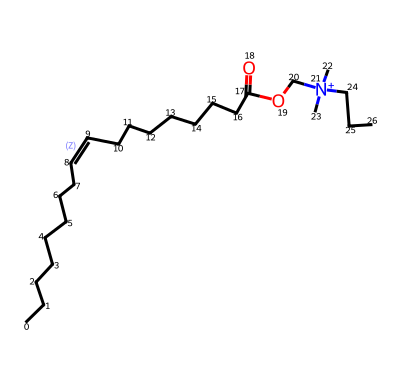 CCCCCCCC/C=C\CCCCCCCC(=O)OC[N+](C)(C)CCC